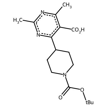 Cc1nc(C)c(C(=O)O)c(C2CCN(C(=O)OC(C)(C)C)CC2)n1